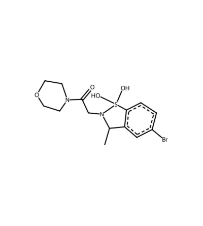 CC1c2cc(Br)ccc2S(O)(O)N1CC(=O)N1CCOCC1